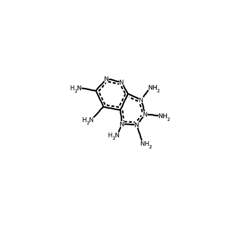 Nc1nnc2c(c1N)n(N)n(N)n(N)n2N